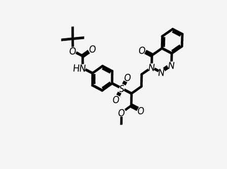 COC(=O)C(CCn1nnc2ccccc2c1=O)S(=O)(=O)c1ccc(NC(=O)OC(C)(C)C)cc1